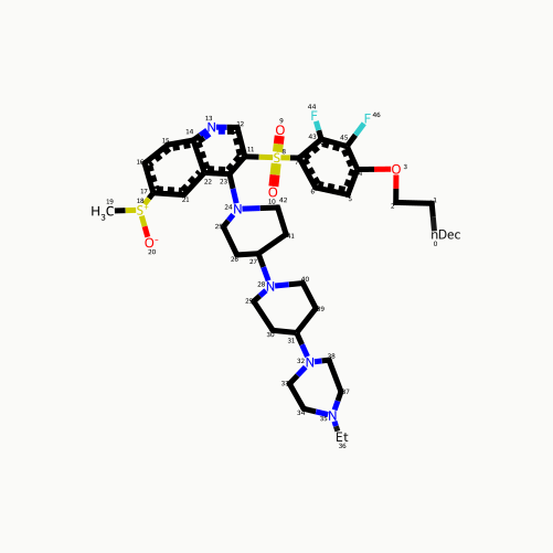 CCCCCCCCCCCCOc1ccc(S(=O)(=O)c2cnc3ccc([S+](C)[O-])cc3c2N2CCC(N3CCC(N4CCN(CC)CC4)CC3)CC2)c(F)c1F